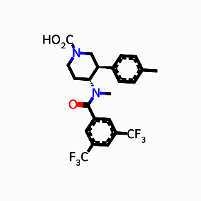 Cc1ccc([C@@H]2CN(C(=O)O)CC[C@H]2N(C)C(=O)c2cc(C(F)(F)F)cc(C(F)(F)F)c2)cc1